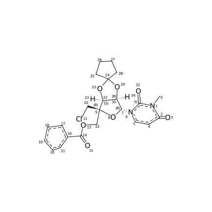 Cn1c(=O)ccn([C@@H]2O[C@](CCl)(COC(=O)c3ccccc3)[C@H]3OC4(CCCC4)O[C@@H]23)c1=O